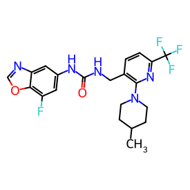 CC1CCN(c2nc(C(F)(F)F)ccc2CNC(=O)Nc2cc(F)c3ocnc3c2)CC1